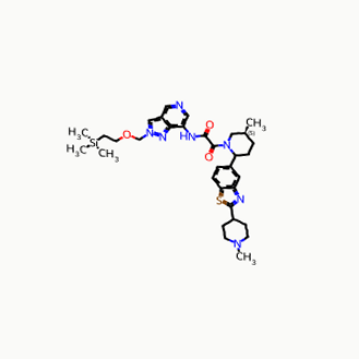 C[C@H]1CCC(c2ccc3sc(C4CCN(C)CC4)nc3c2)N(C(=O)C(=O)Nc2cncc3cn(COCC[Si](C)(C)C)nc23)C1